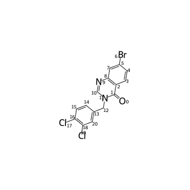 O=c1c2ccc(Br)cc2ncn1Cc1ccc(Cl)c(Cl)c1